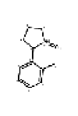 Cc1ccccc1C1CCC[PH]1=O